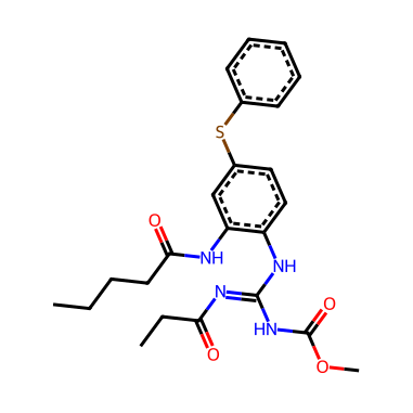 CCCCC(=O)Nc1cc(Sc2ccccc2)ccc1NC(=NC(=O)CC)NC(=O)OC